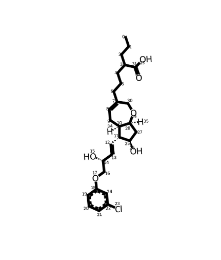 CCCC(CCCC1=CC[C@@H]2[C@@H](C=C[C@@H](O)COc3cccc(Cl)c3)[C@H](O)C[C@@H]2OC1)C(=O)O